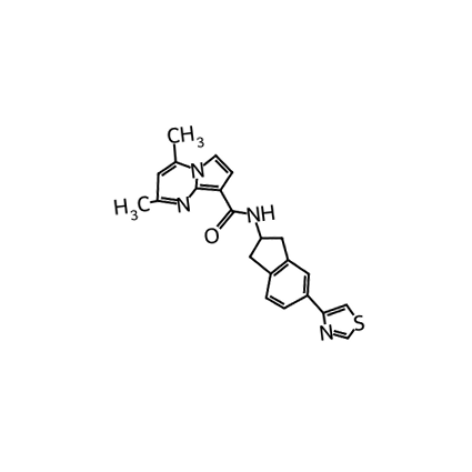 Cc1cc(C)n2ccc(C(=O)NC3Cc4ccc(-c5cscn5)cc4C3)c2n1